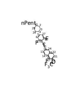 CCCCC[C@H]1CC[C@H](c2cc(F)c(C#Cc3ccc4c(F)c(OC(F)(F)F)ccc4c3)c(F)c2)CC1